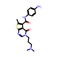 Cc1sc2ncn(CCCN(C)C)c(=O)c2c1C(=O)Nc1ccc(N)cc1